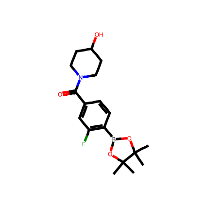 CC1(C)OB(c2ccc(C(=O)N3CCC(O)CC3)cc2F)OC1(C)C